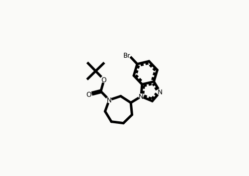 CC(C)(C)OC(=O)N1CCCCC(n2cnc3ccc(Br)cc32)C1